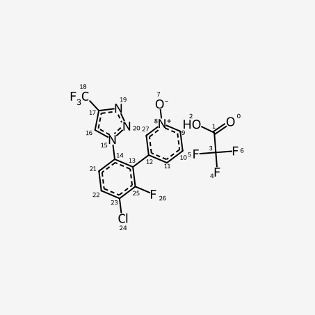 O=C(O)C(F)(F)F.[O-][n+]1cccc(-c2c(-n3cc(C(F)(F)F)nn3)ccc(Cl)c2F)c1